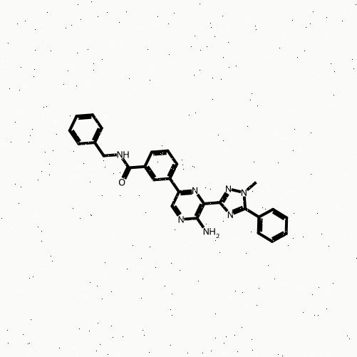 Cn1nc(-c2nc(-c3cccc(C(=O)NCc4ccccc4)c3)cnc2N)nc1-c1ccccc1